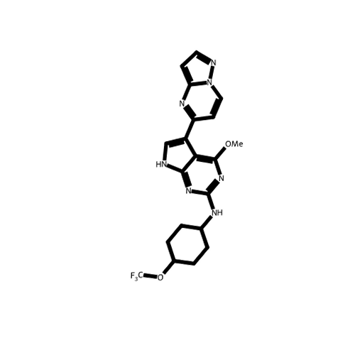 COc1nc(NC2CCC(OC(F)(F)F)CC2)nc2[nH]cc(-c3ccn4nccc4n3)c12